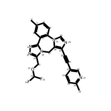 Cc1ccc2c(c1)-c1nnc(COC(F)F)n1Cc1c(C#Cc3ccc(C)nc3)ncn1-2